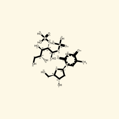 Cc1cn([C@H]2C[C@H](O)[C@@H](CO)O2)c(=O)[nH]c1=O.O=C[C@H](OP(=O)(O)O)[C@@H](OP(=O)(O)O)[C@H](O)[C@H](O)CO